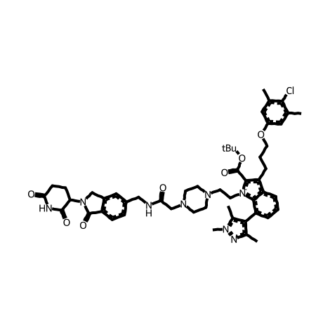 Cc1cc(OCCCc2c(C(=O)OC(C)(C)C)n(CCN3CCN(CC(=O)NCc4ccc5c(c4)CN(C4CCC(=O)NC4=O)C5=O)CC3)c3c(-c4c(C)nn(C)c4C)cccc23)cc(C)c1Cl